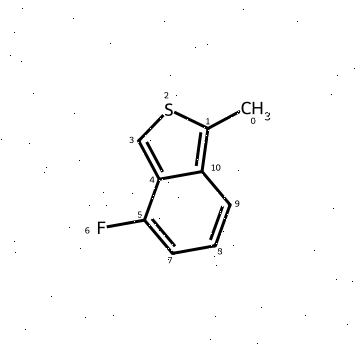 Cc1scc2c(F)cccc12